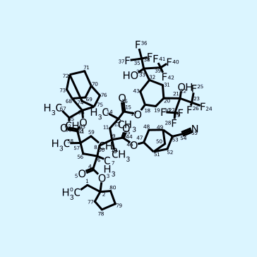 CCC1(OC(=O)C(C)(CC(C)(CC(C)(C)C(=O)OC2CC(C(O)(C(F)(F)F)C(F)(F)F)CC(C(O)(C(F)(F)F)C(F)(F)F)C2)C(=O)OC2CC3CC2CC3C#N)CC(C)(CC)C(=O)OC2(C(C)C)C3CC4CC(C3)CC2C4)CCCC1